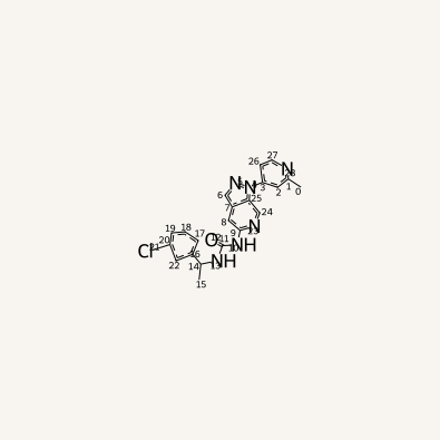 Cc1cc(-n2ncc3cc(NC(=O)NC(C)c4cccc(Cl)c4)ncc32)ccn1